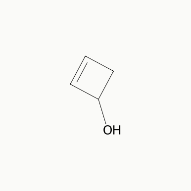 OC1C=CC1